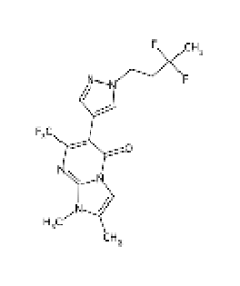 Cc1cn2c(=O)c(-c3cnn(CCC(C)(F)F)c3)c(C(F)(F)F)nc2n1C